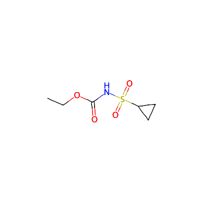 CCOC(=O)NS(=O)(=O)C1CC1